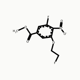 COC(=O)c1cc(F)c([N+](=O)[O-])c(OCCF)c1